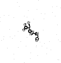 COc1cc(OC)cc(N(CC#CS(C)(C)C)c2ccc3ncc(-c4cnn(CC5CCOCC5)c4)nc3c2)c1